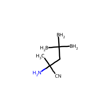 BC(B)(B)CC(C)(N)C#N